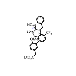 CCOC(=O)Cc1ccc(OC)c(-c2ccc(C(F)(F)F)cc2CN(CC)/C(=N\C#N)NCc2ccccc2)c1